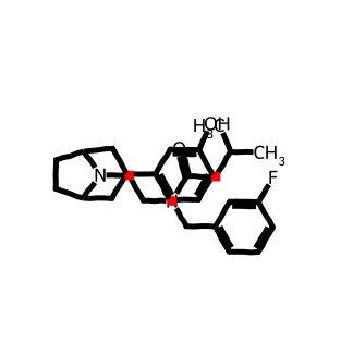 CC(C)CC(=O)N(CCN1C2CCC1CC(c1cccc(O)c1)C2)Cc1cccc(F)c1